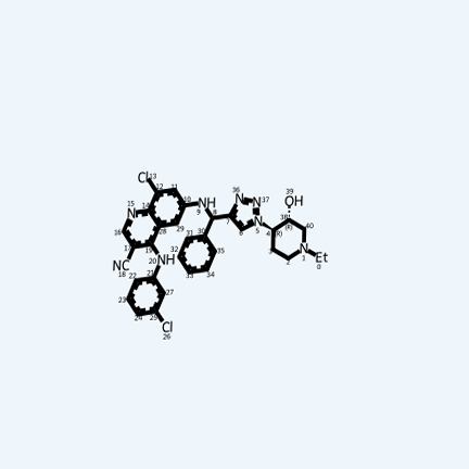 CCN1CC[C@@H](n2cc(C(Nc3cc(Cl)c4ncc(C#N)c(Nc5cccc(Cl)c5)c4c3)c3ccccc3)nn2)[C@H](O)C1